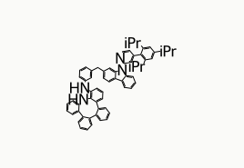 CC(C)c1cc(C(C)C)c(-c2ccnc(-n3c4ccccc4c4ccc(Cc5cccc(Nc6cccc7c6[nH]c6ccccc6c6ccccc6c6ccccc76)c5)cc43)c2)c(C(C)C)c1